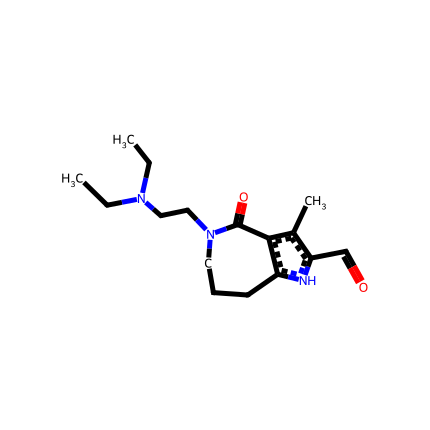 CCN(CC)CCN1CCCc2[nH]c(C=O)c(C)c2C1=O